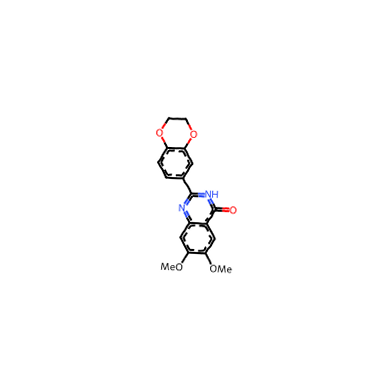 COc1cc2nc(-c3ccc4c(c3)OCCO4)[nH]c(=O)c2cc1OC